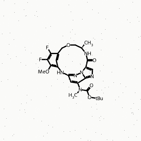 COc1c2cc(c(F)c1F)COC[C@@H](C)NC(=O)c1cnc3c(N(C)C(=O)OC(C)(C)C)cc(nn13)N2